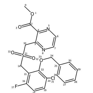 COC(=O)c1nccnc1CS(=O)(=O)Cc1c(F)ccc(Cl)c1OCc1ccccc1